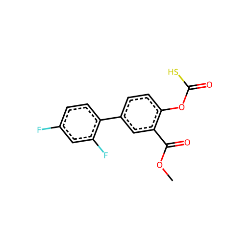 COC(=O)c1cc(-c2ccc(F)cc2F)ccc1OC(=O)S